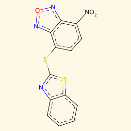 O=[N+]([O-])c1ccc(Sc2nc3ccccc3s2)c2nonc12